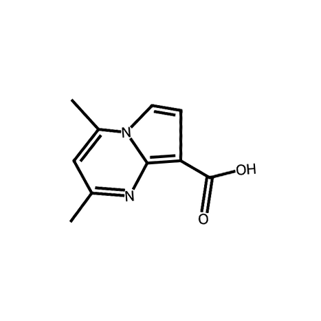 Cc1cc(C)n2ccc(C(=O)O)c2n1